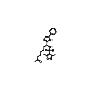 CC(=O)CCCCC[C@H](NS(=O)(=O)c1c(C)noc1C)c1ncc(-c2ccccc2)[nH]1